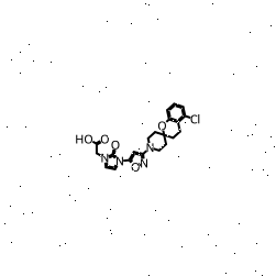 O=C(O)Cn1ccn(-c2cc(N3CCC4(CCc5c(Cl)cccc5O4)CC3)no2)c1=O